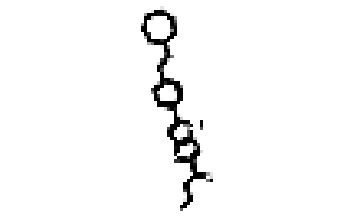 CCCC(=O)c1cc2[nH]c(-c3ccc(CCC4CCCCCC4)cc3)cc2s1